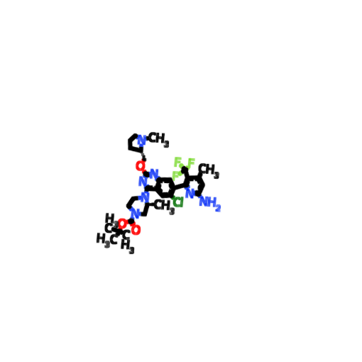 Cc1cc(N)nc(-c2cc3nc(OC[C@@H]4CCCN4C)nc(N4CCN(C(=O)OC(C)(C)C)C[C@@H]4C)c3cc2Cl)c1C(F)(F)F